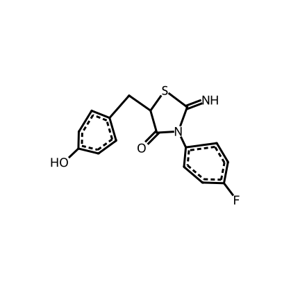 N=C1SC(Cc2ccc(O)cc2)C(=O)N1c1ccc(F)cc1